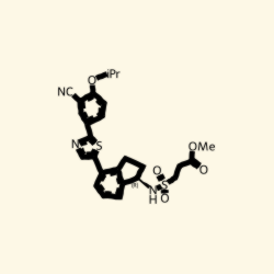 COC(=O)CCS(=O)(=O)N[C@@H]1CCc2c(-c3cnc(-c4ccc(OC(C)C)c(C#N)c4)s3)cccc21